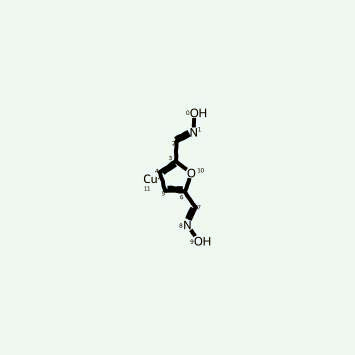 ON=Cc1ccc(C=NO)o1.[Cu]